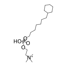 C[N+](C)(C)CCOP(=O)(O)OCCCCCCCC1CCCCC1